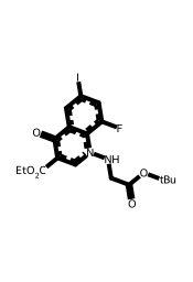 CCOC(=O)c1cn(NCC(=O)OC(C)(C)C)c2c(F)cc(I)cc2c1=O